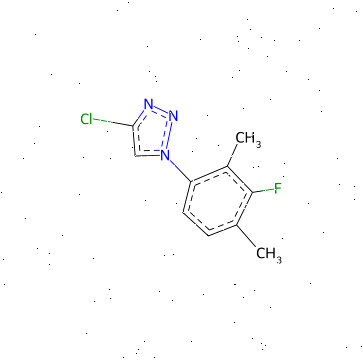 Cc1ccc(-n2cc(Cl)nn2)c(C)c1F